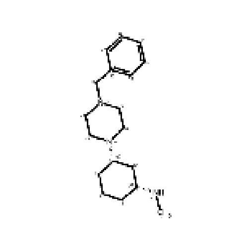 CN[C@@H]1CCC[C@H](N2CCN(Cc3ccccc3)CC2)C1